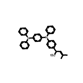 CC(C)=CC(c1ccc(N(c2ccccc2)c2ccc(N(c3ccccc3)c3ccccc3)cc2)cc1)C(C)(C)C